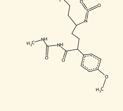 CCCC(CCC(C(=O)NC(=O)NC)c1ccc(OC)cc1)N=S(=O)=O